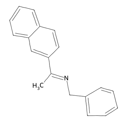 C/C(=N\Cc1ccccc1)c1ccc2ccccc2c1